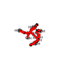 Cc1cc(Nc2nc(NCCOCCOCCNc3nc(Cc4ccc(N=Nc5ccc(N=Nc6ccccc6)cc5S(=O)(=O)O)c(C)c4)nc(Cc4cc(C)c(N=Nc5ccc(N=Nc6ccc(S(=O)(=O)O)cc6)cc5)cc4OCCCS(=O)(=O)O)n3)nc(Nc3ccc(N=Nc4ccc(N=Nc5ccccc5)cc4S(=O)(=O)O)c(C)c3)n2)ccc1N=Nc1ccc(N=Nc2ccc(S(=O)(=O)O)cc2)cc1